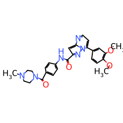 COc1ccc(-c2ccnc3cc(C(=O)Nc4ccc(C(=O)N5CCN(C)CC5)cc4)nn23)cc1OC